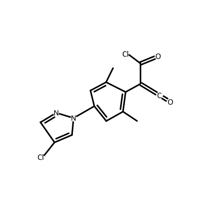 Cc1cc(-n2cc(Cl)cn2)cc(C)c1C(=C=O)C(=O)Cl